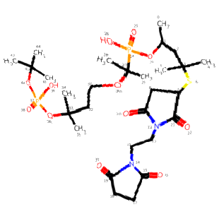 CC(CC(C)(C)SC1CC(=O)N(CCN2C(=O)CCC2=O)C1=O)OP(=O)(O)C(C)(C)OCCC(C)(C)OP(=O)(O)OC(C)(C)C